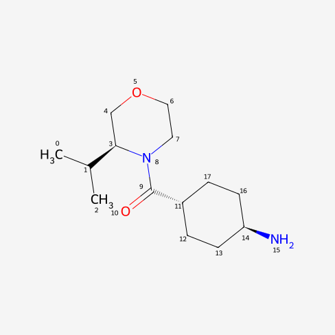 CC(C)[C@H]1COCCN1C(=O)[C@H]1CC[C@H](N)CC1